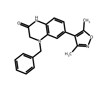 Cc1noc(C)c1-c1ccc2c(c1)N(Cc1ccccc1)CC(=O)N2